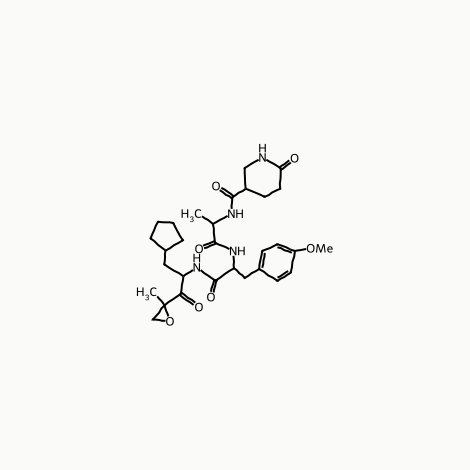 COc1ccc(CC(NC(=O)C(C)NC(=O)C2CCC(=O)NC2)C(=O)NC(CC2CCCC2)C(=O)C2(C)CO2)cc1